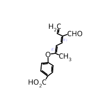 C=C/C(C=O)=C\C=C(/C)Oc1ccc(C(=O)O)cc1